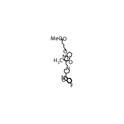 COC(=O)CCCCOC1CCCn2c1nc(C)c(CCN1CCC(c3noc4cc(F)ccc34)CC1)c2=O